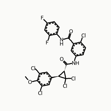 COc1c(Cl)cc([C@H]2[C@H](C(=O)Nc3ccc(Cl)c(C(=O)Nc4ccc(F)cc4F)c3)C2(Cl)Cl)cc1Cl